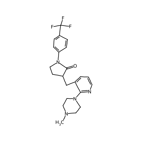 CN1CCN(c2ncccc2CC2CCN(c3ccc(C(F)(F)F)cc3)C2=O)CC1